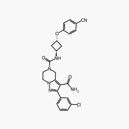 N#Cc1ccc(O[C@H]2C[C@H](NC(=O)N3CCn4nc(-c5cccc(Cl)c5)c(C(N)=O)c4C3)C2)cc1